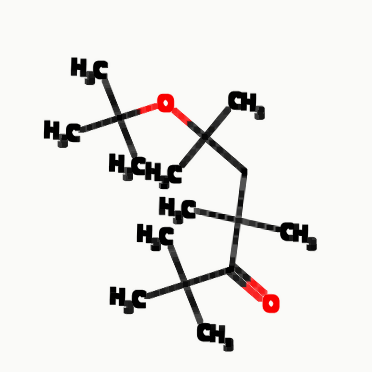 CC(C)(C)OC(C)(C)CC(C)(C)C(=O)C(C)(C)C